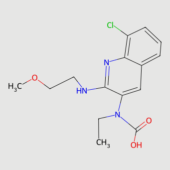 CCN(C(=O)O)c1cc2cccc(Cl)c2nc1NCCOC